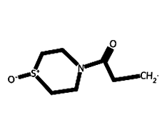 [CH2]CC(=O)N1CC[S+]([O-])CC1